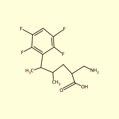 CC(CC(CN)C(=O)O)C(C)c1c(F)c(F)cc(F)c1F